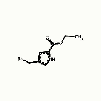 CCOC(=O)c1cc(CBr)c[nH]1